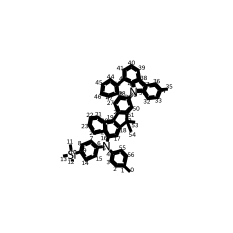 Cc1ccc(N(c2ccc([Si](C)(C)C)cc2)c2cc3c(c4ccccc24)-c2ccc(-n4c5ccc(C)cc5c5cccc(-c6ccccc6)c54)cc2C3(C)C)cc1